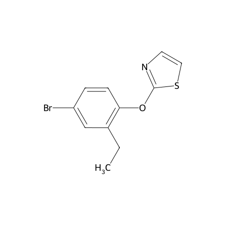 CCc1cc(Br)ccc1Oc1nccs1